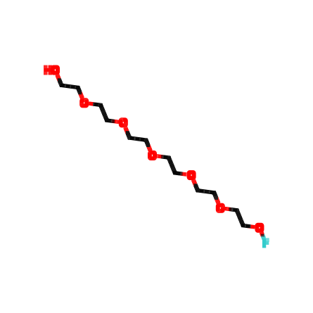 OCCOCCOCCOCCOCCOCCOF